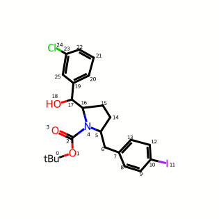 CC(C)(C)OC(=O)N1C(Cc2ccc(I)cc2)CCC1C(O)c1cccc(Cl)c1